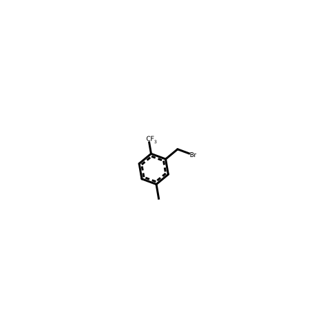 Cc1ccc(C(F)(F)F)c(CBr)c1